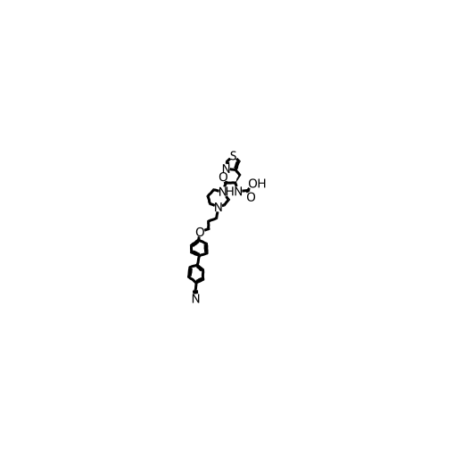 N#Cc1ccc(-c2ccc(OCCCN3CCCN(C(=O)[C@@H](Cc4cscn4)NC(=O)O)CC3)cc2)cc1